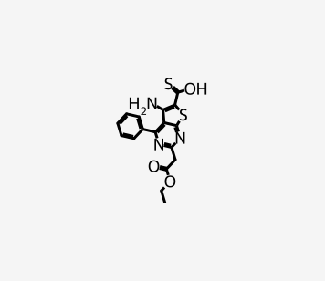 CCOC(=O)Cc1nc(-c2ccccc2)c2c(N)c(C(O)=S)sc2n1